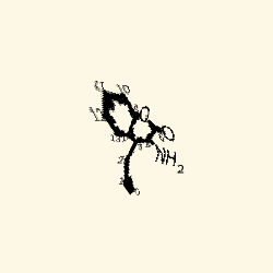 C#CCc1c(N)c(=O)oc2ccccc12